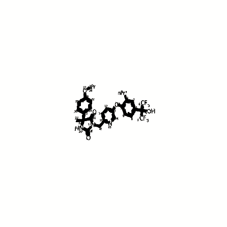 CCCc1cc(C(O)(C(F)(F)F)C(F)(F)F)ccc1Oc1ccc(CN2C(=O)NC(C)(c3ccc(OC(C)C)cc3)C2=O)nc1